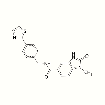 Cn1c(=O)[nH]c2cc(C(=O)NCc3ccc(-c4nccs4)cc3)ccc21